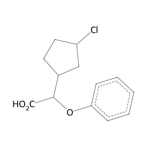 O=C(O)C(Oc1ccccc1)C1CCC(Cl)C1